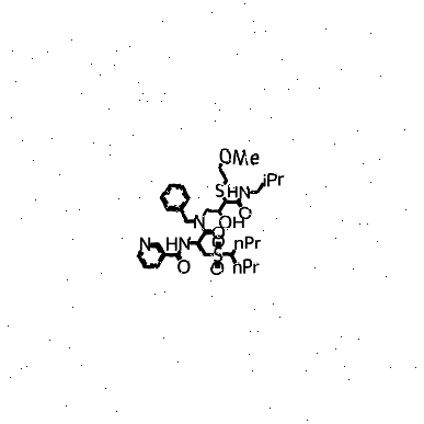 CCCC(CCC)S(=O)(=O)CC(NC(=O)c1cccnc1)C(=O)N(Cc1ccccc1)CC(O)C(SCCOC)C(=O)NCC(C)C